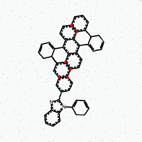 C1=CCCC(n2c(-c3ccc(-c4ccc5c(C6=CC=CCC6c6ccccc6)c6ccccc6c(C6=CC=CCC6c6ccccc6)c5c4)cc3)nc3ccccc32)=C1